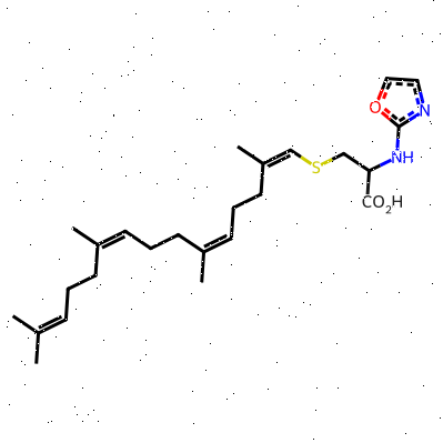 CC(C)=CCCC(C)=CCCC(C)=CCCC(C)=CSCC(Nc1ncco1)C(=O)O